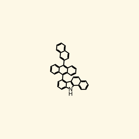 c1ccc2cc(-c3c4ccccc4c(-c4cccc5[nH]c6c7ccccc7ccc6c45)c4ccccc34)ccc2c1